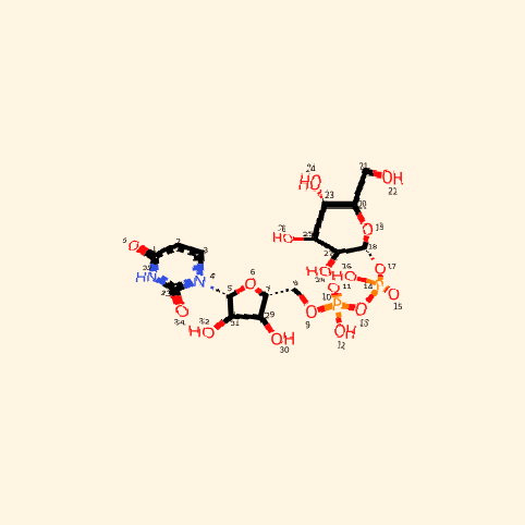 O=c1ccn([C@@H]2O[C@H](COP(=O)(O)OP(=O)(O)O[C@H]3OC(CO)[C@@H](O)C(O)C3O)C(O)C2O)c(=O)[nH]1